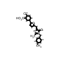 C=c1s/c(=C\c2ccc(-c3ccc(Cl)c(C(=O)O)c3)o2)c(=O)n1Cc1ccc(C)cc1